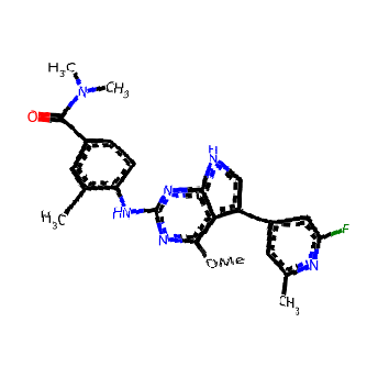 COc1nc(Nc2ccc(C(=O)N(C)C)cc2C)nc2[nH]cc(-c3cc(C)nc(F)c3)c12